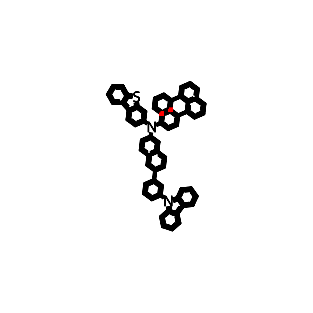 c1ccc(-c2cccc3cccc(-c4ccc(N(c5ccc6cc(-c7cccc(-n8c9ccccc9c9ccccc98)c7)ccc6c5)c5ccc6c(c5)sc5ccccc56)cc4)c23)cc1